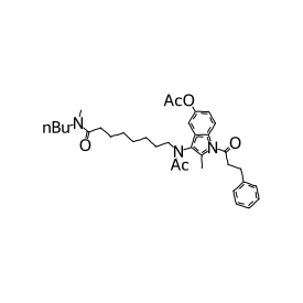 CCCCN(C)C(=O)CCCCCCCN(C(C)=O)c1c(C)n(C(=O)CCc2ccccc2)c2ccc(OC(C)=O)cc12